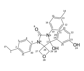 CCc1ccc(N2C(=O)N(c3ccc(C)cc3)C(O)(c3cccc(O)c3)C23COC3)cc1